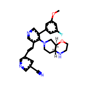 COc1cc(F)cc(-c2cncc(C=Cc3cncc(C#N)c3)c2N2CC[C@H]3NCCO[C@@H]3C2)c1